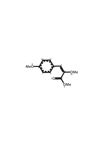 COC(=O)C(=Cc1ccc(OC)cc1)OC